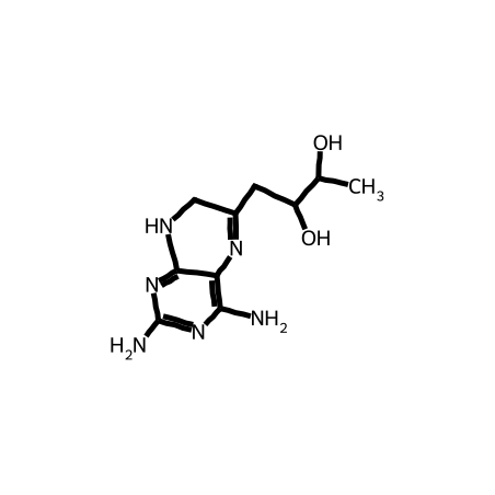 CC(O)C(O)CC1=Nc2c(N)nc(N)nc2NC1